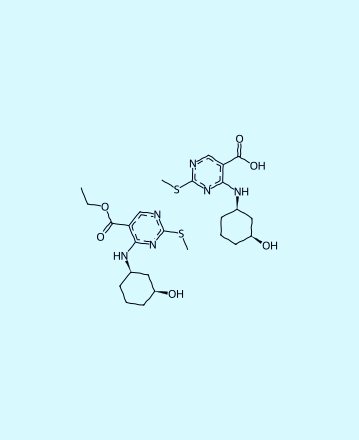 CCOC(=O)c1cnc(SC)nc1N[C@@H]1CCC[C@H](O)C1.CSc1ncc(C(=O)O)c(N[C@@H]2CCC[C@H](O)C2)n1